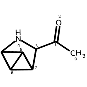 CC(=O)C1NC2C3C1C23